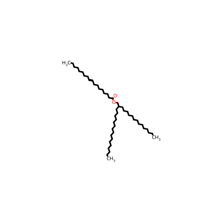 CCCCCCCCC=CCCCCCCCC(=O)OCC(CCCCCCCCCCCCCC)CCCCCCCCCCCCCCCC